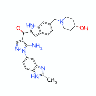 Cc1nc2cc(-n3ncc(C(=O)c4cc5ccc(CN6CCC(O)CC6)cc5[nH]4)c3N)ccc2[nH]1